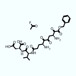 CC(=O)F.CC(C)[C@H](NC(=O)CC[C@H](N)C(=O)C(=O)C[C@H](N)C(=O)C(=O)OCc1ccccc1)C(=O)N[C@@H](CC(=O)O)C(=O)O